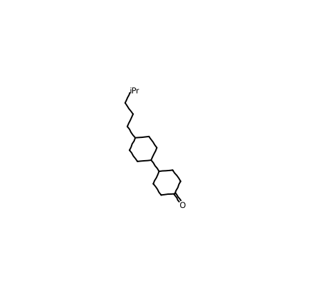 CC(C)CCCC1CCC(C2CCC(=O)CC2)CC1